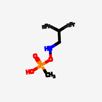 CCCC(CCC)CNOP(C)(=O)O